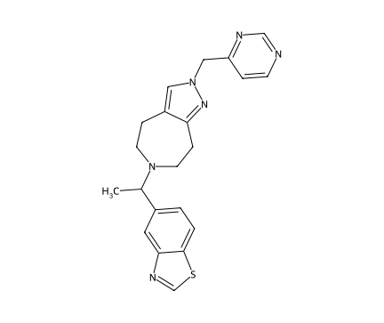 CC(c1ccc2scnc2c1)N1CCc2cn(Cc3ccncn3)nc2CC1